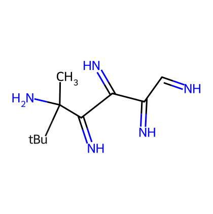 CC(C)(C)C(C)(N)C(=N)C(=N)C(=N)C=N